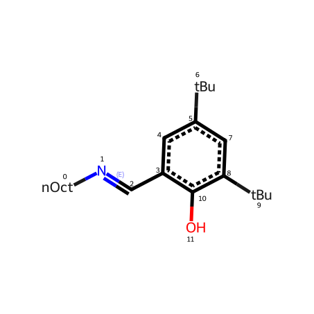 CCCCCCCC/N=C/c1cc(C(C)(C)C)cc(C(C)(C)C)c1O